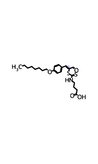 CCCCCCCCOc1ccc(/C=C(/C=O)SC(=S)NCCCC(=O)O)cc1